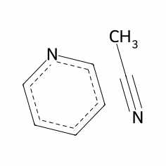 CC#N.c1ccncc1